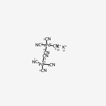 N#[C][Pd-]([C]#N)([C]#N)[C]#N.N#[C][Pd-]([C]#N)([C]#N)[C]#N.[K+].[K+]